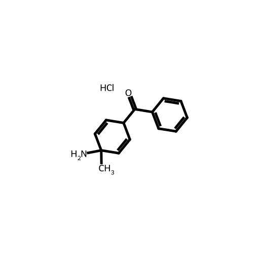 CC1(N)C=CC(C(=O)c2ccccc2)C=C1.Cl